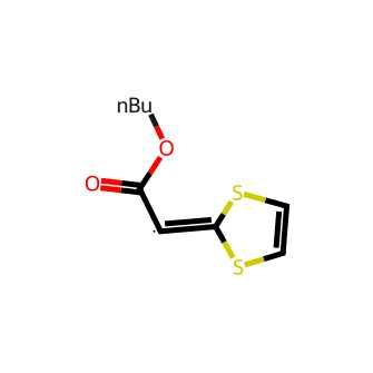 CCCCOC(=O)[C]=C1SC=CS1